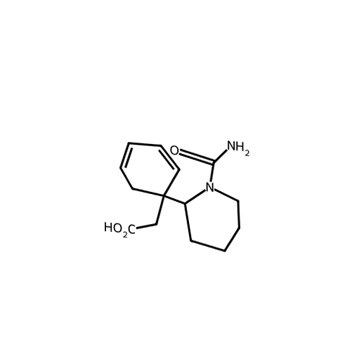 NC(=O)N1CCCCC1C1(CC(=O)O)C=CC=CC1